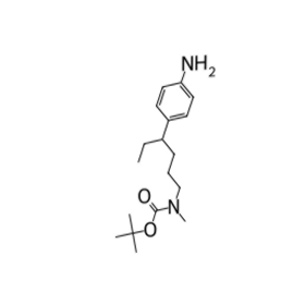 CCC(CCCN(C)C(=O)OC(C)(C)C)c1ccc(N)cc1